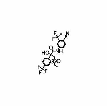 CCS(=O)(=O)CC(O)(C(=O)Nc1ccc(C#N)c(C(F)(F)F)c1)c1ccc(C(F)(F)F)cc1